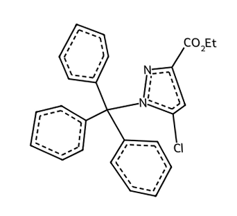 CCOC(=O)c1cc(Cl)n(C(c2ccccc2)(c2ccccc2)c2ccccc2)n1